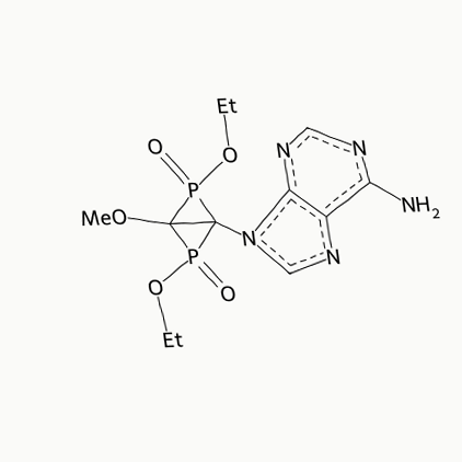 CCOP1(=O)C2(OC)C1(n1cnc3c(N)ncnc31)P2(=O)OCC